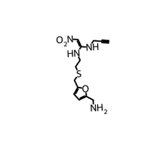 C#CCN/C(=C/[N+](=O)[O-])NCCSCc1ccc(CN)o1